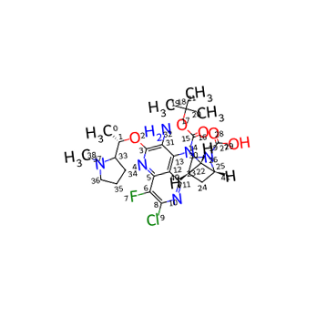 C[C@H](Oc1nc2c(F)c(Cl)ncc2c(N(C(=O)OC(C)(C)C)[C@H]2[C@@H]3C[C@H]2N(C(=O)O)C3)c1N)C1CCCN1C